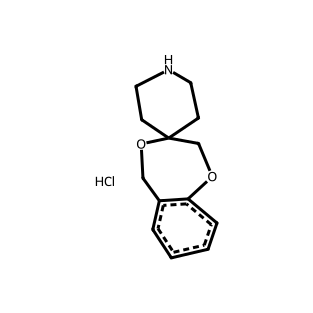 Cl.c1ccc2c(c1)COC1(CCNCC1)CO2